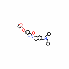 C[C@H](c1ccc2c(c1)CC[C@H](NC(=O)c1ccc(OC[C@@H]3CCCO3)cc1)C2)N(CC1CCCC1)CC1CCCC1